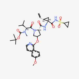 C=C[C@@H]1C[C@]1(NC(=O)[C@@H]1CC(Oc2nccc3cc(OC)ccc23)CN1C(=O)[C@H](C(C)C)N(C)C(=O)OC(C)(C)C)C(=O)NS(=O)(=O)C1CC1